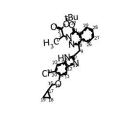 CC(C(=O)OC(C)(C)C)n1nc(Cc2nc3cc(OCC4CC4)c(Cl)cc3[nH]2)c2ccccc2c1=O